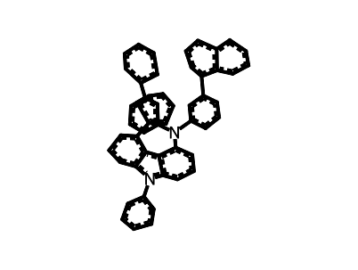 c1ccc(-c2cccc(N(c3cccc(-c4cccc5ccccc45)c3)c3cccc4c3c3c(-c5ccccc5)cccc3n4-c3ccccc3)c2)cc1